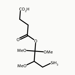 COC(C[SiH3])C(OC)(OC)OC(=O)CCC(=O)O